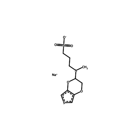 CN(CCCS(=O)(=O)[O-])C1COc2cscc2O1.[Na+]